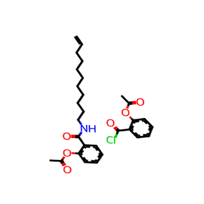 C=CCCCCCCCCCNC(=O)c1ccccc1OC(C)=O.CC(=O)Oc1ccccc1C(=O)Cl